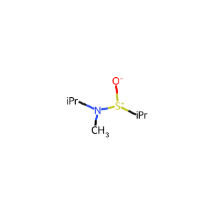 CC(C)N(C)[S+]([O-])C(C)C